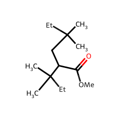 CCC(C)(C)CC(C(=O)OC)C(C)(C)CC